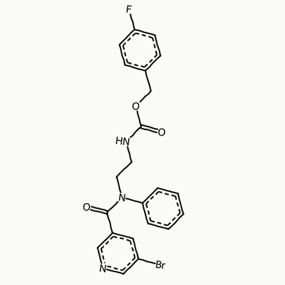 O=C(NCCN(C(=O)c1cncc(Br)c1)c1ccccc1)OCc1ccc(F)cc1